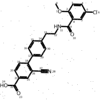 COc1ccc(Cl)cc1C(=O)NCCc1ccc(-c2ccc(C(=O)O)cc2C#N)cc1